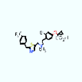 CCc1cc(OC2(C(=O)O)CC2)ccc1CCN(C)Cc1cnc(Cc2ccc(C(F)(F)F)cc2)s1